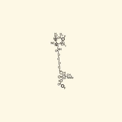 CN[C@@H](C)C(=O)N[C@H](C(=O)N1CCC[C@H]1C1=NC(C(=O)c2ccc(F)cc2)CS1)C1CCN(CCOCCOCCOCCOCCC(=O)NCCn2nc(C#N)c3c2CN(C)C(=O)c2ccc(F)cc2[C@@H](C)Oc2nc-3cnc2N)CC1